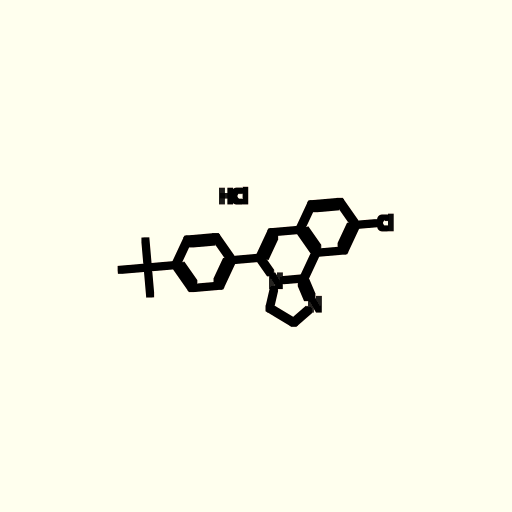 CC(C)(C)c1ccc(C2=Cc3ccc(Cl)cc3C3=NCCN23)cc1.Cl